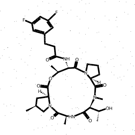 C[C@H]1C[C@H]2C(=O)O[C@@H](C)[C@H](NC(=O)CCc3cc(F)cc(F)c3)C(=O)N3CCC[C@H]3C(=O)N(C)[C@@H]([C@@H](C)O)C(=O)N[C@@H](C)C(=O)N2C1